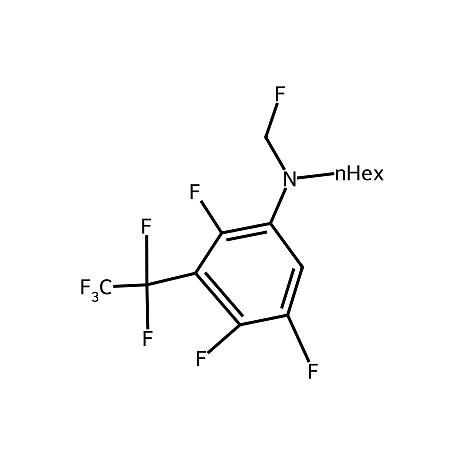 CCCCCCN(CF)c1cc(F)c(F)c(C(F)(F)C(F)(F)F)c1F